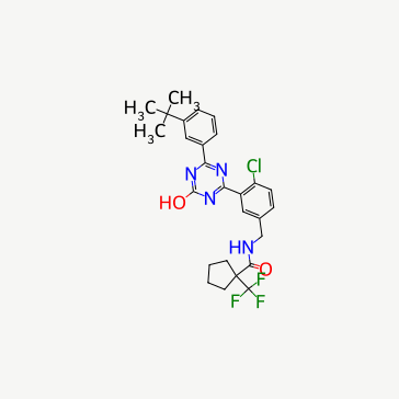 CC(C)(C)c1cccc(-c2nc(O)nc(-c3cc(CNC(=O)C4(C(F)(F)F)CCCC4)ccc3Cl)n2)c1